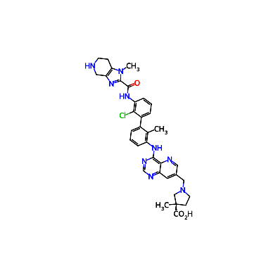 Cc1c(Nc2ncnc3cc(CN4CC[C@@](C)(C(=O)O)C4)cnc23)cccc1-c1cccc(NC(=O)c2nc3c(n2C)CCNC3)c1Cl